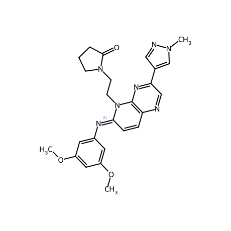 COc1cc(/N=c2\ccc3ncc(-c4cnn(C)c4)nc3n2CCN2CCCC2=O)cc(OC)c1